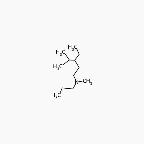 CCCN(C)CCC(CC)C(C)C